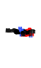 CCNC(=O)[C@H]1O[C@@H](n2cnc3c(NCc4ccc(OC)cc4)ncnc32)[C@H](O)[C@@H]1O